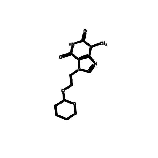 Cn1c(=O)[nH]c(=O)c2c1ncn2CCOC1CCCCO1